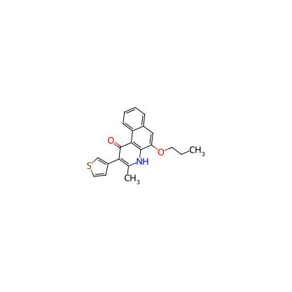 CCCOc1cc2ccccc2c2c(=O)c(-c3ccsc3)c(C)[nH]c12